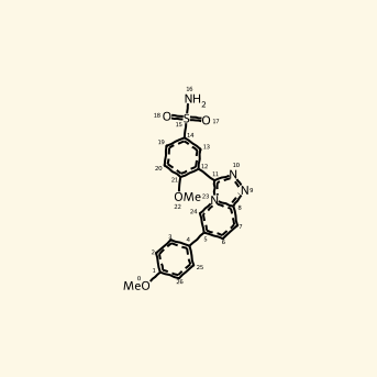 COc1ccc(-c2ccc3nnc(-c4cc(S(N)(=O)=O)ccc4OC)n3c2)cc1